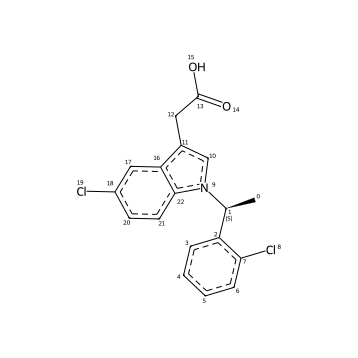 C[C@@H](c1ccccc1Cl)n1cc(CC(=O)O)c2cc(Cl)ccc21